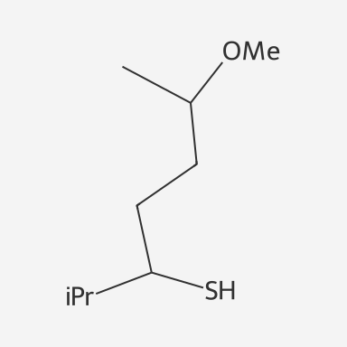 COC(C)CCC(S)C(C)C